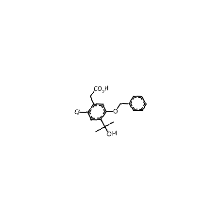 CC(C)(O)c1cc(Cl)c(CC(=O)O)cc1OCc1ccccc1